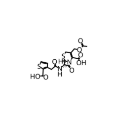 CC(=O)OCC1=C(C(=O)O)N2C(=O)[C@@H](NC(=O)Cc3ccsc3C(=O)O)[C@H]2SC1